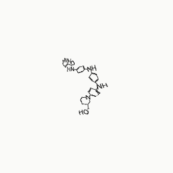 O=C(Nc1ccc(Nc2ccc(Nc3ccc(N4CCCC(CO)C4)cc3)cc2)cc1)c1ccc[nH]1